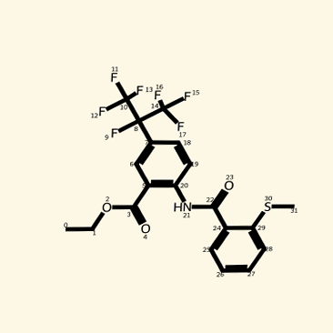 CCOC(=O)c1cc(C(F)(C(F)(F)F)C(F)(F)F)ccc1NC(=O)c1ccccc1SC